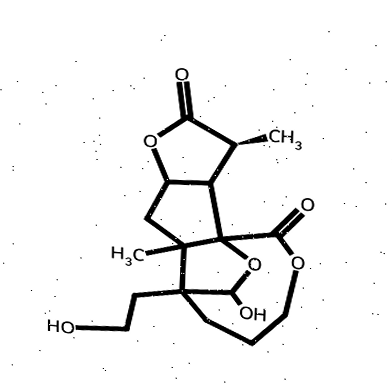 C[C@@H]1C(=O)OC2CC3(C)C4(CCO)CCCOC(=O)C3(OC4O)C21